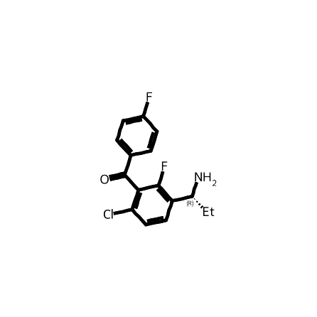 CC[C@@H](N)c1ccc(Cl)c(C(=O)c2ccc(F)cc2)c1F